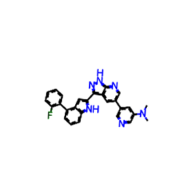 CN(C)c1cncc(-c2cnc3[nH]nc(-c4cc5c(-c6ccccc6F)cccc5[nH]4)c3c2)c1